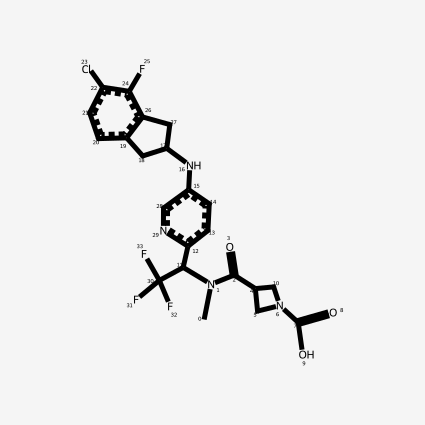 CN(C(=O)C1CN(C(=O)O)C1)C(c1ccc(NC2Cc3ccc(Cl)c(F)c3C2)cn1)C(F)(F)F